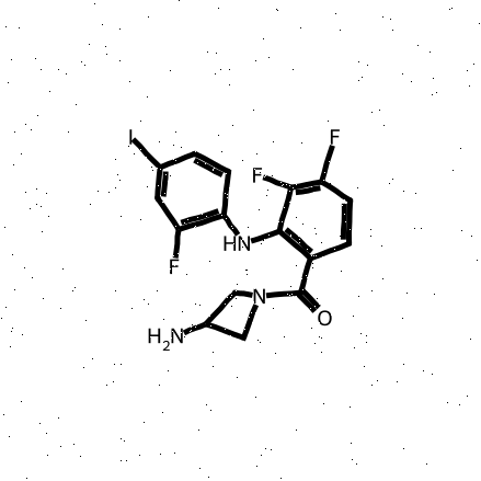 NC1CN(C(=O)c2ccc(F)c(F)c2Nc2ccc(I)cc2F)C1